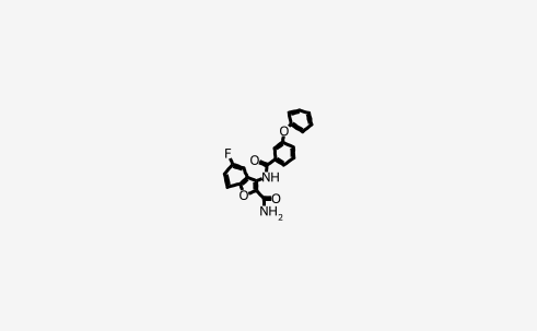 NC(=O)c1oc2ccc(F)cc2c1NC(=O)c1cccc(Oc2ccccc2)c1